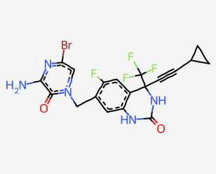 Nc1nc(Br)cn(Cc2cc3c(cc2F)C(C#CC2CC2)(C(F)(F)F)NC(=O)N3)c1=O